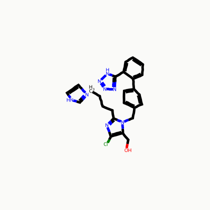 CCCCc1nc(Cl)c(CO)n1Cc1ccc(-c2ccccc2-c2nnn[nH]2)cc1.c1c[nH]cn1